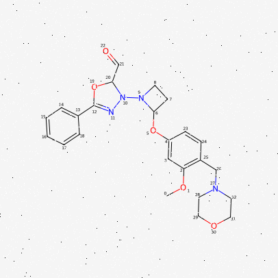 COc1cc(OC2CCN2N2N=C(c3ccccc3)OC2C=O)ccc1CN1CCOCC1